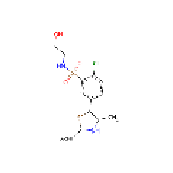 CC(=O)NC1NC(C)C(c2ccc(Cl)c(S(=O)(=O)NCCO)c2)S1